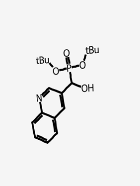 CC(C)(C)OP(=O)(OC(C)(C)C)C(O)c1cnc2ccccc2c1